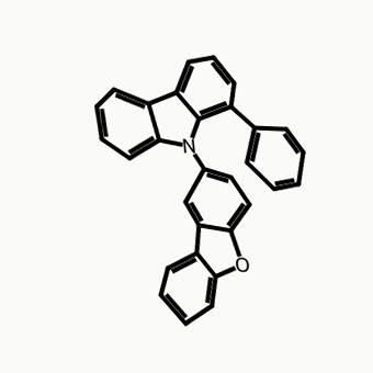 c1ccc(-c2cccc3c4ccccc4n(-c4ccc5oc6ccccc6c5c4)c23)cc1